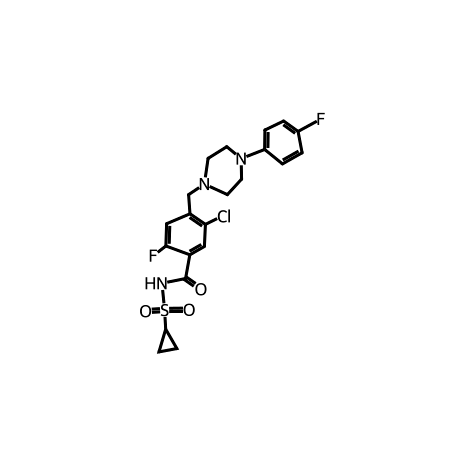 O=C(NS(=O)(=O)C1CC1)c1cc(Cl)c(CN2CCN(c3ccc(F)cc3)CC2)cc1F